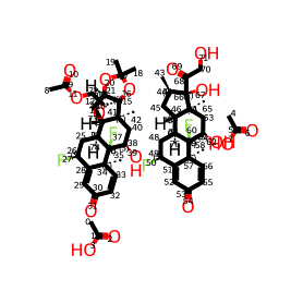 CC(=O)O.CC(=O)O.CC(=O)OCC(=O)[C@@]12OC(C)(C)O[C@@H]1C[C@H]1[C@@H]3C[C@H](F)C4=CC(=O)C=C[C@]4(C)[C@@]3(F)[C@@H](O)C[C@@]12C.C[C@@H]1C[C@H]2[C@@H]3C[C@H](F)C4=CC(=O)C=C[C@]4(C)[C@@]3(F)[C@@H](O)C[C@]2(C)[C@@]1(O)C(=O)CO